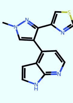 Cn1cc(-c2ccnc3[nH]ccc23)c(-c2cscn2)n1